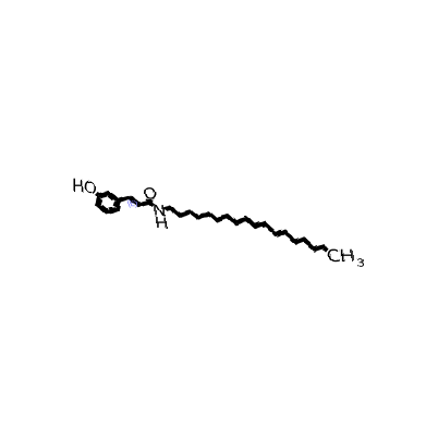 CCCCCCCCCCCCCCCCCCNC(=O)/C=C/c1cccc(O)c1